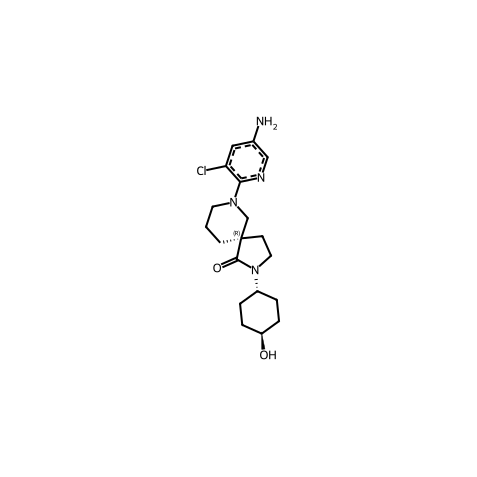 Nc1cnc(N2CCC[C@@]3(CCN([C@H]4CC[C@H](O)CC4)C3=O)C2)c(Cl)c1